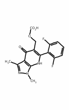 Cc1nn(C)c2[nH]c(-c3c(F)cccc3F)c(COC(=O)O)c(=O)c12